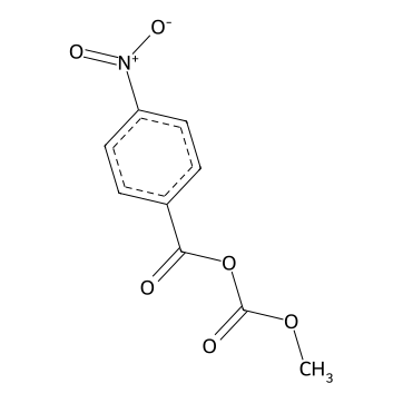 COC(=O)OC(=O)c1ccc([N+](=O)[O-])cc1